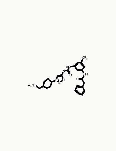 CC(=O)NCC1CCC([n+]2cc([N-]C(=O)Nc3cc(NC(=O)Cc4ccccc4)cc(C(F)(F)F)c3)on2)CC1